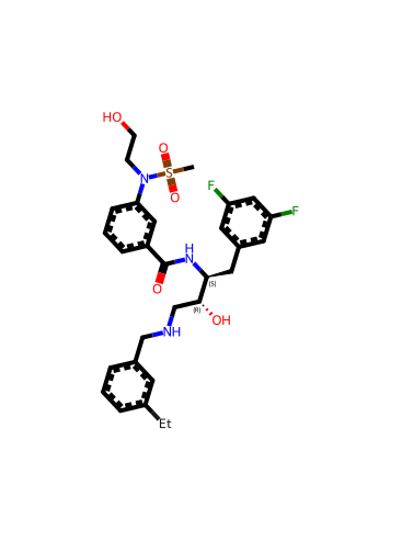 CCc1cccc(CNC[C@@H](O)[C@H](Cc2cc(F)cc(F)c2)NC(=O)c2cccc(N(CCO)S(C)(=O)=O)c2)c1